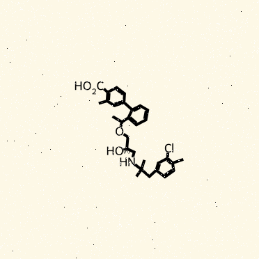 Cc1ccc(CC(C)(C)NC[C@@H](O)COC(C)c2ccccc2-c2ccc(C(=O)O)c(C)c2)cc1Cl